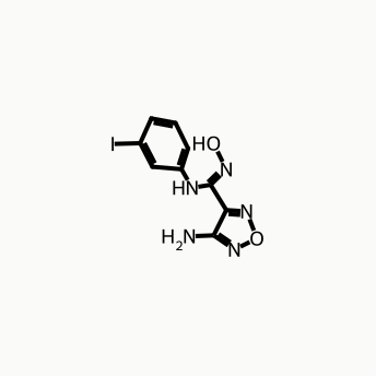 Nc1nonc1/C(=N/O)Nc1cccc(I)c1